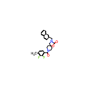 Cc1ccc(C(=O)N2CCC3(CC2)CN(Cc2ccc4ccccc4c2)C(=O)O3)c(F)c1F